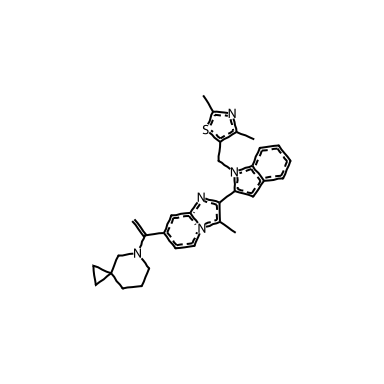 C=C(c1ccn2c(C)c(-c3cc4ccccc4n3Cc3sc(C)nc3C)nc2c1)N1CCCC2(CC2)C1